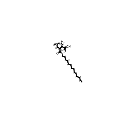 CCCCCCCCCCCCCCNC(=O)C(CN(C)C)C(N)C(=O)O